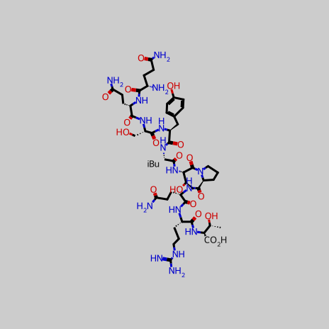 CC[C@H](C)[C@H](NC(=O)[C@H](Cc1ccc(O)cc1)NC(=O)[C@H](CO)NC(=O)[C@H](CCC(N)=O)NC(=O)[C@@H](N)CCC(N)=O)C(=O)N[C@H](C(=O)N1CCC[C@H]1C(=O)N[C@@H](CCC(N)=O)C(=O)N[C@@H](CCCNC(=N)N)C(=O)N[C@H](C(=O)O)[C@@H](C)O)[C@@H](C)O